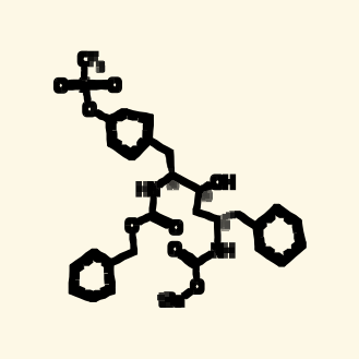 CC(C)(C)OC(=O)N[C@@H](Cc1ccccc1)C[C@H](O)[C@H](Cc1ccc(OS(=O)(=O)C(F)(F)F)cc1)NC(=O)OCc1ccccc1